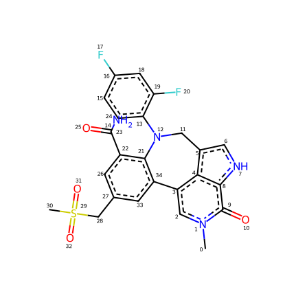 Cn1cc2c3c(c[nH]c3c1=O)CN(c1ccc(F)cc1F)c1c(C(N)=O)cc(CS(C)(=O)=O)cc1-2